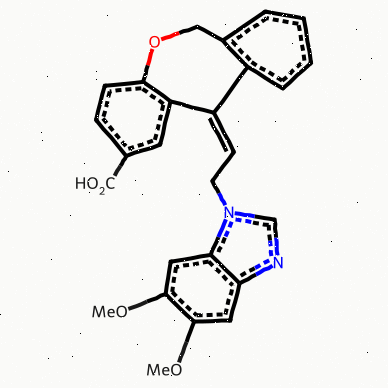 COc1cc2ncn(CC=C3c4ccccc4COc4ccc(C(=O)O)cc43)c2cc1OC